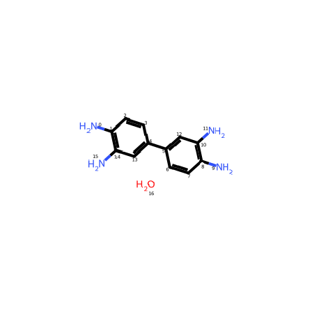 Nc1ccc(-c2ccc(N)c(N)c2)cc1N.O